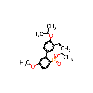 C=Cc1cc(-c2cc(OC)ccc2[PH](=O)OCC)ccc1OC(C)C